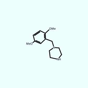 COc1ccc(OC)c(CN2CCNCC2)c1